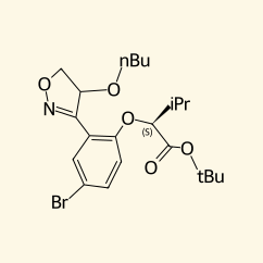 CCCCOC1CON=C1c1cc(Br)ccc1O[C@H](C(=O)OC(C)(C)C)C(C)C